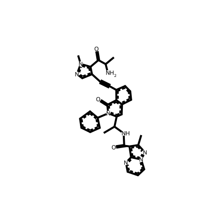 Cc1nn2cccnc2c1C(=O)NC(C)c1cc2cccc(C#Cc3cnn(C)c3C(=O)C(C)N)c2c(=O)n1-c1ccccc1